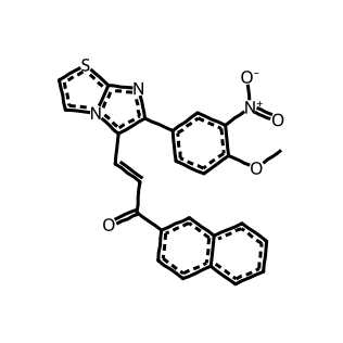 COc1ccc(-c2nc3sccn3c2/C=C/C(=O)c2ccc3ccccc3c2)cc1[N+](=O)[O-]